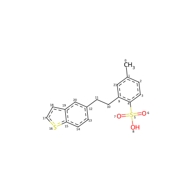 Cc1ccc(S(=O)(=O)O)c(CCc2ccc3sccc3c2)c1